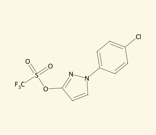 O=S(=O)(Oc1ccn(-c2ccc(Cl)cc2)n1)C(F)(F)F